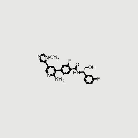 Cn1cncc1-c1cnc(N)c(-c2ccc(C(=O)N[C@H](CO)c3cccc(F)c3)c(F)c2)c1